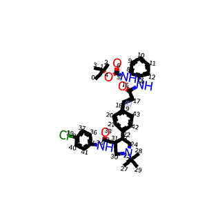 CC(C)(C)OC(=O)Nc1ccccc1NC(=O)/C=C/c1ccc(C2CN(C(C)(C)C)CC2C(=O)Nc2ccc(Cl)cc2)cc1